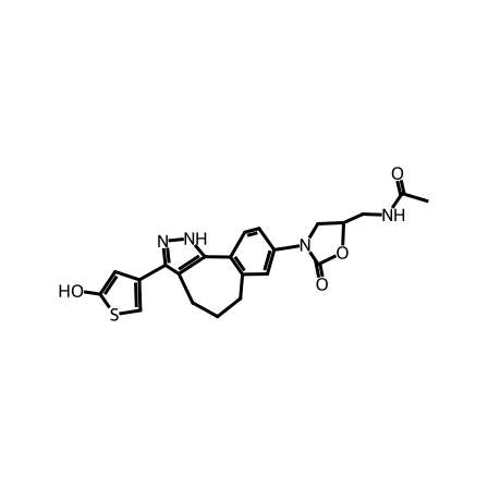 CC(=O)NCC1CN(c2ccc3c(c2)CCCc2c(-c4csc(O)c4)n[nH]c2-3)C(=O)O1